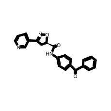 O=C(c1ccccc1)c1ccc(NC(=O)[C@H]2CC(c3cccnc3)=NO2)cc1